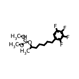 CO[SiH](OC)OC(C)CCCCCc1cc(F)c(F)c(F)c1F